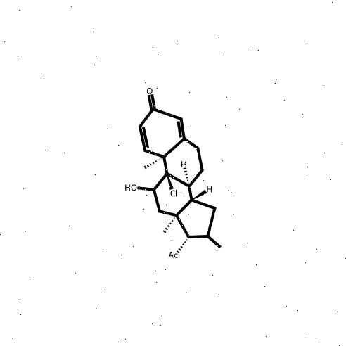 CC(=O)[C@H]1C(C)C[C@H]2[C@@H]3CCC4=CC(=O)C=C[C@]4(C)[C@@]3(Cl)C(O)C[C@]12C